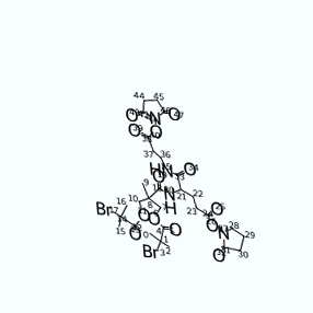 CC(C)(Br)C(=O)OCC(C)(COC(=O)C(C)(C)Br)C(=O)NC(CCC(=O)ON1CCCC1=O)C(=O)NCCC(=O)ON1C(=O)CCC1=O